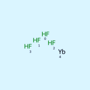 F.F.F.F.[Yb]